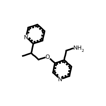 CC(COc1cnccc1CN)c1ccccn1